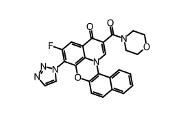 O=C(c1cn2c3c(c(-n4ccnn4)c(F)cc3c1=O)Oc1ccc3ccccc3c1-2)N1CCOCC1